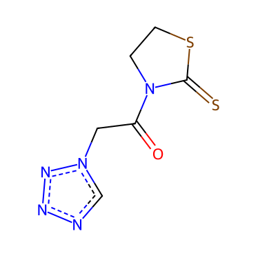 O=C(Cn1cnnn1)N1CCSC1=S